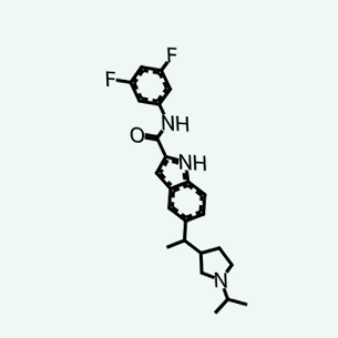 CC(c1ccc2[nH]c(C(=O)Nc3cc(F)cc(F)c3)cc2c1)C1CCN(C(C)C)C1